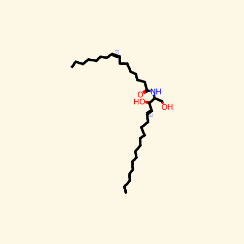 CCCCCCC/C=C\CCCCCCC(=O)NC(CO)C(O)/C=C/CCCCCCCCCCCCC